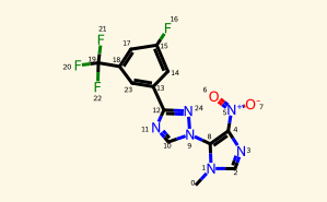 Cn1cnc([N+](=O)[O-])c1-n1cnc(-c2cc(F)cc(C(F)(F)F)c2)n1